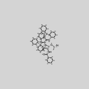 CC(=O)[C@H](C)O[C@@H]1[C@@H](NC(=O)c2ccccc2)C(=O)N1C(C(=O)OC(c1ccccc1)c1ccccc1)=P(c1ccccc1)(c1ccccc1)c1ccccc1